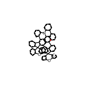 c1ccc(-c2ccccc2N(c2ccc(-c3cccc4c3-c3ccccc3C43c4ccccc4Oc4ccccc43)cc2)c2ccccc2-c2cccc3c2-c2ccccc2C32c3ccccc3Oc3ccccc32)cc1